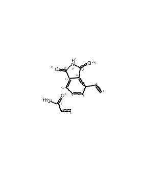 C=CC(=O)O.C=Cc1cccc2c1C(=O)NC2=O